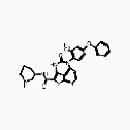 Cc1cc(Oc2ccccc2)ccc1N1C(=O)Nc2c(C(=O)NC3CCCNC3)sc3nccc1c23